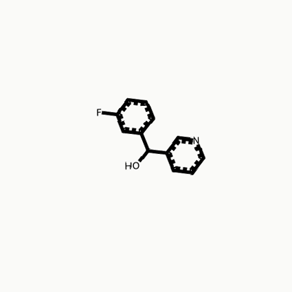 OC(c1cccnc1)c1cccc(F)c1